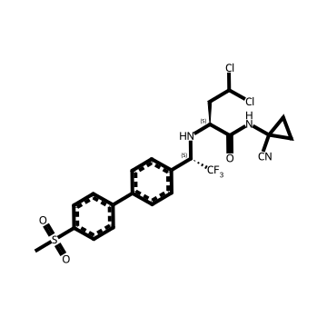 CS(=O)(=O)c1ccc(-c2ccc([C@H](N[C@@H](CC(Cl)Cl)C(=O)NC3(C#N)CC3)C(F)(F)F)cc2)cc1